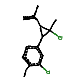 C=C(C)C1C(c2ccc(C)c(Cl)c2)C1(C)Cl